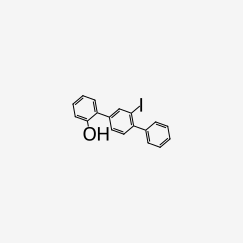 Oc1ccccc1-c1ccc(-c2ccccc2)c(I)c1